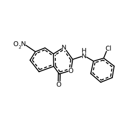 O=c1oc(Nc2ccccc2Cl)nc2cc([N+](=O)[O-])ccc12